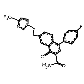 NC(=O)c1cn(-c2ccc(F)cc2)c2ccc(CCc3ccc(C(F)(F)F)nc3)cc2c1=O